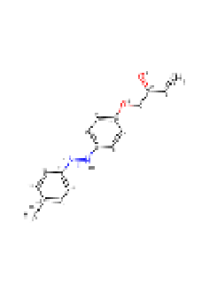 C=CC(=O)COc1ccc(/N=N/c2ccc(C)cc2)cc1